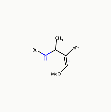 CCC/C(=C/OC)C(C)NC(C)CC